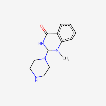 CN1c2ccccc2C(=O)NC1N1CCNCC1